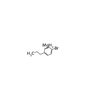 CCCc1ccc(Br)cc1.[MgH2]